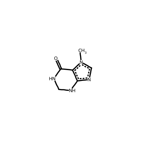 Cn1cnc2c1C(=O)NCN2